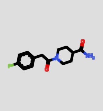 NC(=O)C1CCN(C(=O)Cc2ccc(F)cc2)CC1